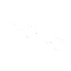 O=[N+]([O-])C=Cc1ccc(OCc2cccc(F)c2)cc1